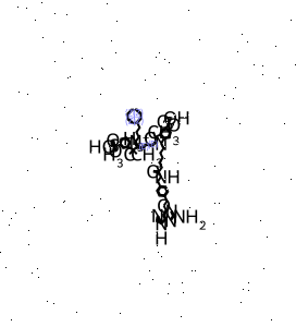 CC1(C)C(/C=C/C=C2/N(CCCCCC(=O)NCc3ccc(COc4nc(N)nc5[nH]cnc45)cc3)c3ccc(S(=O)(=O)O)cc3C2(C)C)=[N+](CCCC2=C/C=C\C=C/C=C\2)c2ccc(S(=O)(=O)O)cc21